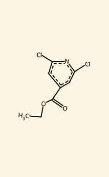 CCOC(=O)c1cc(Cl)nc(Cl)c1